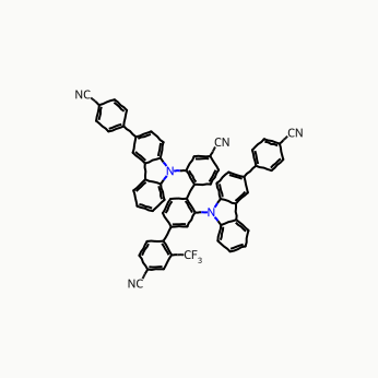 N#Cc1ccc(-c2ccc3c(c2)c2ccccc2n3-c2cc(C#N)ccc2-c2ccc(-c3ccc(C#N)cc3C(F)(F)F)cc2-n2c3ccccc3c3cc(-c4ccc(C#N)cc4)ccc32)cc1